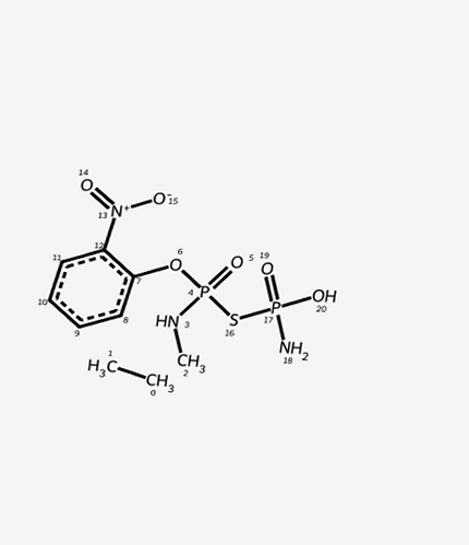 CC.CNP(=O)(Oc1ccccc1[N+](=O)[O-])SP(N)(=O)O